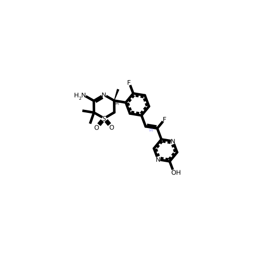 CC1(C)C(N)=N[C@](C)(c2cc(/C=C(\F)c3cnc(O)cn3)ccc2F)CS1(=O)=O